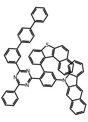 c1ccc(-c2ccc(-c3cccc(-c4nc(-c5ccccc5)nc(-c5ccc(-n6c7ccccc7c7cc8ccccc8cc76)cc5-c5cccc6sc7ccc8ccccc8c7c56)n4)c3)cc2)cc1